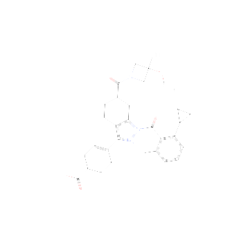 COC1(C)CN(C(=O)C2CCc3c(C4=CCC(C(=O)O)CC4)nn(C(=O)c4c(C)cccc4C4CC4)c3C2)C1